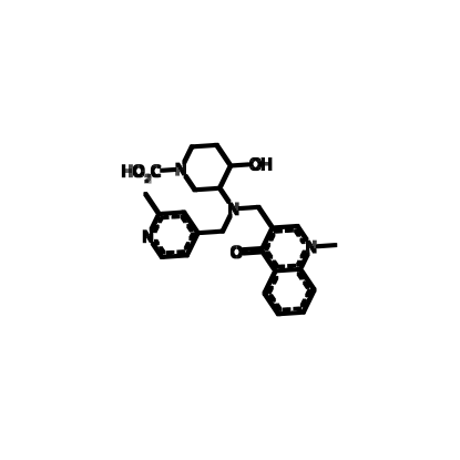 Cc1cc(CN(Cc2cn(C)c3ccccc3c2=O)C2CN(C(=O)O)CCC2O)ccn1